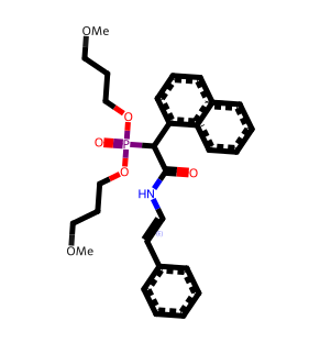 COCCCOP(=O)(OCCCOC)C(C(=O)N/C=C/c1ccccc1)c1cccc2ccccc12